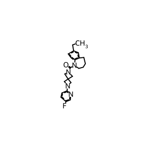 CCc1ccc2c(c1)CCCCN2C(=O)N1CC2(C1)CN(c1ccc(F)cn1)C2